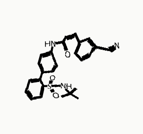 CC(C)(C)NS(=O)(=O)c1ccccc1-c1ccc(NC(=O)/C=C\c2cccc(C#N)c2)cc1